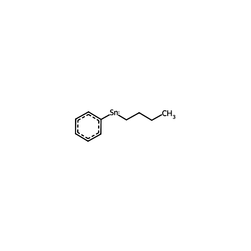 CCC[CH2][Sn][c]1ccccc1